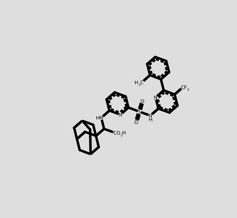 Cc1ccccc1-c1nc(NS(=O)(=O)c2cccc(NC(C(=O)O)C34CC5CC(CC(C5)C3)C4)n2)ccc1C(F)(F)F